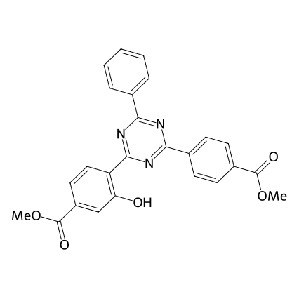 COC(=O)c1ccc(-c2nc(-c3ccccc3)nc(-c3ccc(C(=O)OC)cc3O)n2)cc1